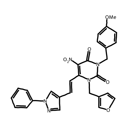 COc1ccc(Cn2c(=O)c([N+](=O)[O-])c(C=Cc3cnn(-c4ccccc4)c3)n(Cc3ccoc3)c2=O)cc1